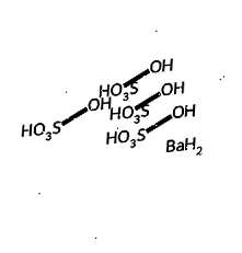 O=S(=O)(O)O.O=S(=O)(O)O.O=S(=O)(O)O.O=S(=O)(O)O.[BaH2]